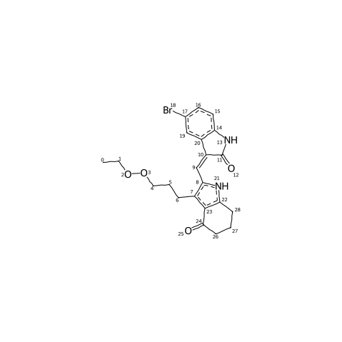 CCOOCCCc1c(/C=C2\C(=O)Nc3ccc(Br)cc32)[nH]c2c1C(=O)CCC2